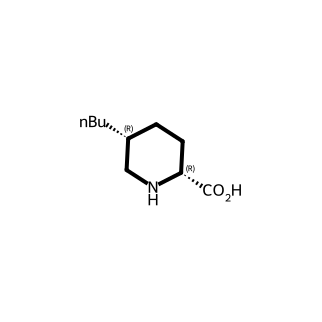 CCCC[C@@H]1CC[C@H](C(=O)O)NC1